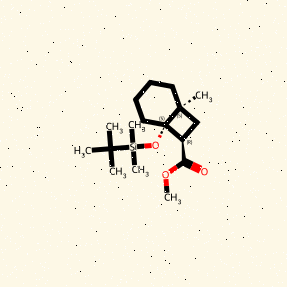 COC(=O)[C@@H]1C[C@]2(C)CCCC[C@]12O[Si](C)(C)C(C)(C)C